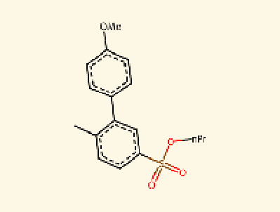 CCCOS(=O)(=O)c1ccc(C)c(-c2ccc(OC)cc2)c1